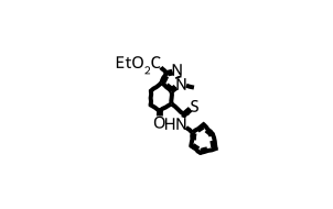 CCOC(=O)c1nn(C)c2c1CCC(=O)C2C(=S)Nc1ccccc1